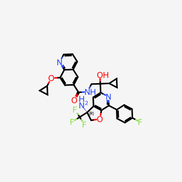 N[C@@]1(C(F)(F)F)COc2c1cc(C(O)(CNC(=O)c1cc(OC3CC3)c3ncccc3c1)C1CC1)nc2-c1ccc(F)cc1